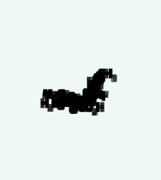 CO/N=C(/C(=O)N[C@@H]1C(=O)N2C(C(=O)O)=C(COC(=O)c3cn(CCF)c4c(F)c(N5CCN(C)CC5)c(F)cc4c3=O)CSC12)c1csc(N)n1